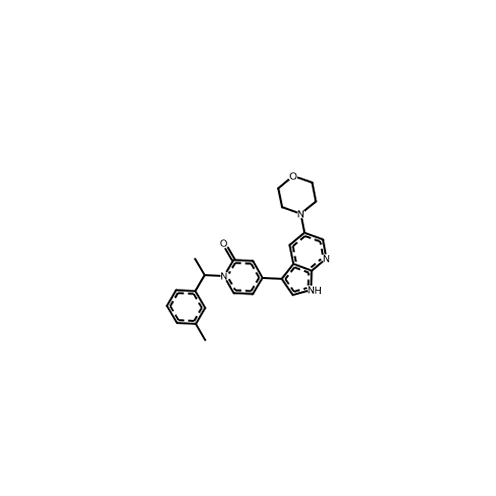 Cc1cccc(C(C)n2ccc(-c3c[nH]c4ncc(N5CCOCC5)cc34)cc2=O)c1